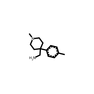 Cc1ccc(C2(CN)CCN(C)CC2)cc1